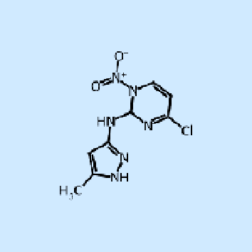 Cc1cc(NC2N=C(Cl)C=CN2[N+](=O)[O-])n[nH]1